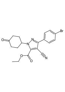 CCOC(=O)c1c(C#N)c(-c2ccc(Br)cc2)nn1C1CCC(=O)CC1